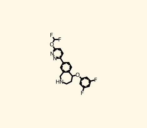 Fc1cc(F)cc(OC2CCNCc3cc(-c4ccc(OC(F)F)nn4)ccc32)c1